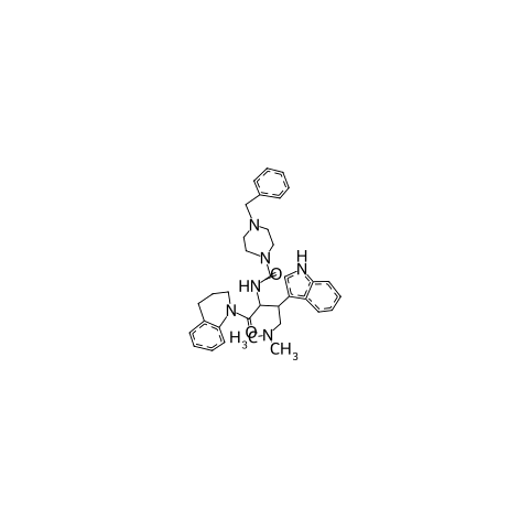 CN(C)CC(c1c[nH]c2ccccc12)C(NC(=O)N1CCN(Cc2ccccc2)CC1)C(=O)N1CCCc2ccccc21